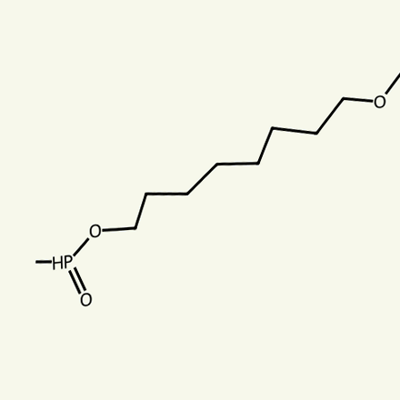 COCCCCCCCCO[PH](C)=O